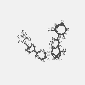 CCS(=O)(=O)Nc1ncc(-c2nccc([C@]34CC[C@@H](c5cc(-c6c(F)cccc6F)nnc53)C4(C)C)n2)cn1